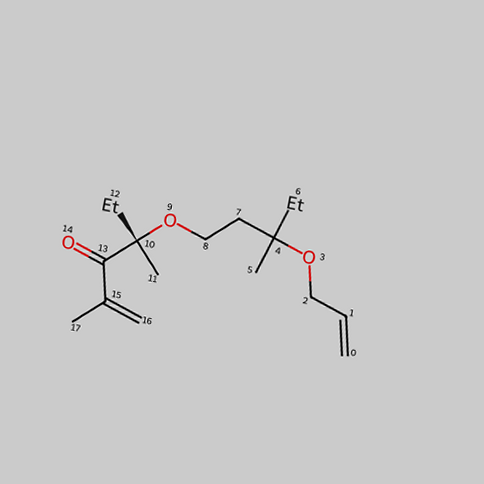 C=CCOC(C)(CC)CCO[C@@](C)(CC)C(=O)C(=C)C